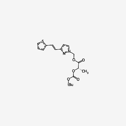 C[C@H](OC(=O)OC(C)(C)C)C(=O)OCn1ccc(/C=C/c2cccs2)n1